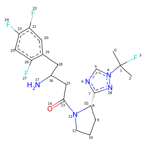 CC(C)(F)n1cnc([C@@H]2CCCN2C(=O)CC(N)Cc2cc(F)c(F)cc2F)n1